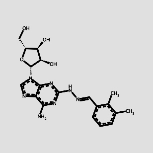 Cc1cccc(C=NNc2nc(N)c3ncn([C@@H]4O[C@H](CO)[C@@H](O)[C@H]4O)c3n2)c1C